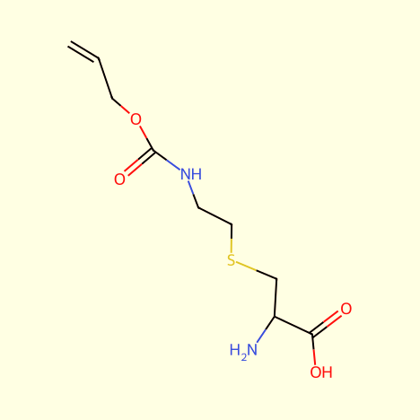 C=CCOC(=O)NCCSCC(N)C(=O)O